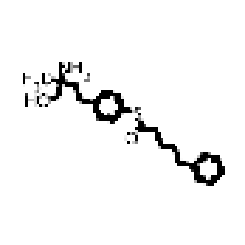 CC(N)(CO)CCc1ccc(SC(=O)CCCCc2ccccc2)cc1